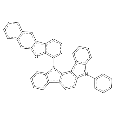 c1ccc(-n2c3ccccc3c3c2ccc2c4ccccc4n(-c4cccc5c4oc4cc6ccccc6cc45)c23)cc1